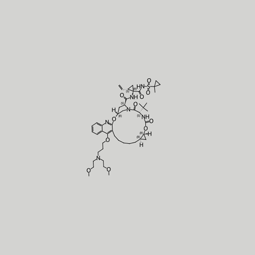 C=C[C@@H]1C[C@]1(NC(=O)[C@@H]1C[C@@H]2CN1C(=O)[C@H](C(C)(C)C)NC(=O)O[C@@H]1C[C@H]1CCCCCc1c(nc3ccccc3c1OCCCN(CCOC)CCOC)O2)C(=O)NS(=O)(=O)C1(C)CC1